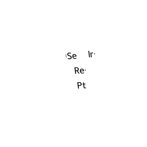 [Ir].[Pt].[Re].[Se]